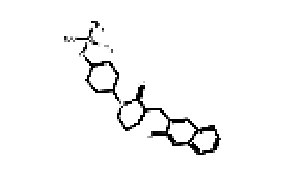 CC(C)(C)[Si](C)(C)OC1CCC(N2CCCC(Cc3cc4ccccc4cc3Cl)C2=O)CC1